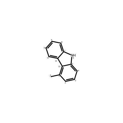 [CH2]c1cccc2[nH]c3ccccc3c12